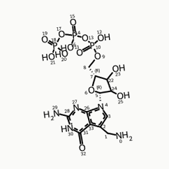 NCc1cn([C@@H]2O[C@H](COP(=O)(O)OP(=O)(O)OP(=O)(O)O)C(O)C2O)c2nc(N)[nH]c(=O)c12